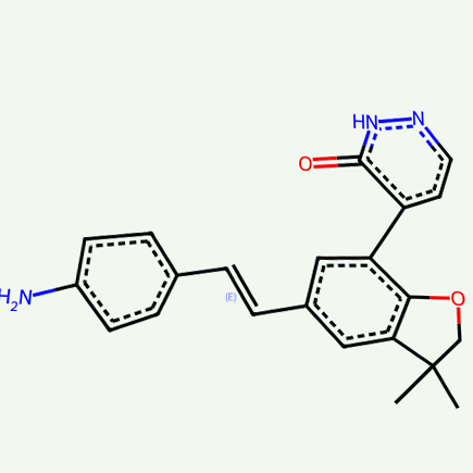 CC1(C)COc2c(-c3ccn[nH]c3=O)cc(/C=C/c3ccc(N)cc3)cc21